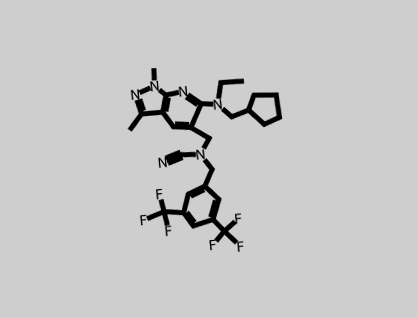 CCN(CC1CCCC1)c1nc2c(cc1CN(C#N)Cc1cc(C(F)(F)F)cc(C(F)(F)F)c1)c(C)nn2C